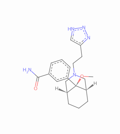 CO[C@]1(c2cccc(C(N)=O)c2)[C@@H]2CCC[C@H]1CN(CCc1c[nH]nn1)C2